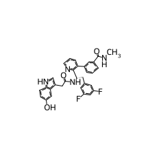 CNC(=O)c1cccc(-c2cccnc2[C@H](Cc2cc(F)cc(F)c2)NC(=O)Cc2c[nH]c3ccc(O)cc23)c1